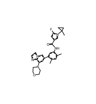 Cc1cc(C)c(-c2cc(N3CCOCC3)c3nccn3c2)cc1NC(=O)c1cc(F)n(C2(C)CC2)c1